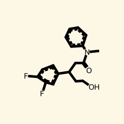 CN(C(=O)CC(CCO)c1ccc(F)c(F)c1)c1ccccc1